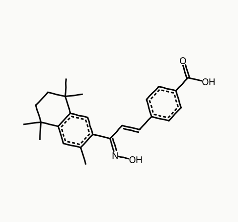 Cc1cc2c(cc1C(/C=C/c1ccc(C(=O)O)cc1)=NO)C(C)(C)CCC2(C)C